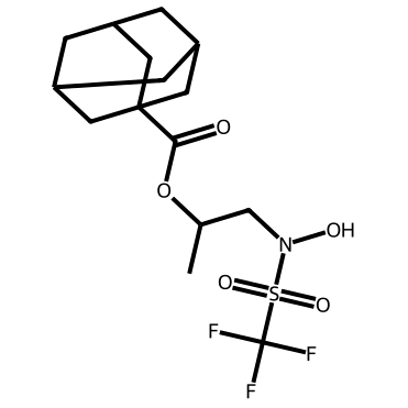 CC(CN(O)S(=O)(=O)C(F)(F)F)OC(=O)C12CC3CC(CC(C3)C1)C2